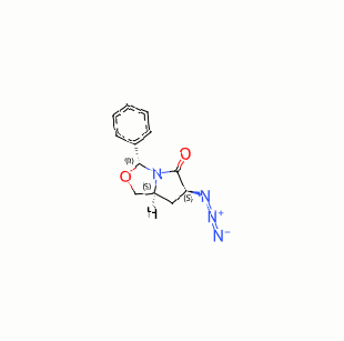 [N-]=[N+]=N[C@H]1C[C@H]2CO[C@H](c3ccccc3)N2C1=O